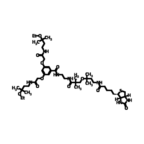 CCOC(C)(C)CCNC(=O)COc1cc(OCC(=O)NCCC(C)(C)OCC)cc(C(=O)NCCNC(=O)C(C)(C)COC(C)(C)CCNC(=O)CCCC[C@@H]2SC[C@@H]3NC(=O)N[C@@H]32)c1